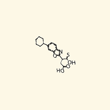 O=C(O)CC(C(O)=S)c1nc2ccc(C3CCCCC3)cc2o1